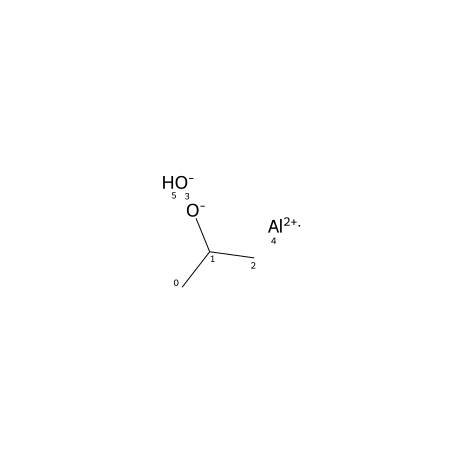 CC(C)[O-].[Al+2].[OH-]